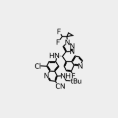 CC(C)(C)CNc1c(C#N)cnc2c(Cl)cc(N[C@H](c3cn(C4(C(F)F)CC4)nn3)c3ccc(F)c4ncccc34)cc12